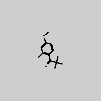 COc1ccc(C(=O)C(C)(C)C)c(C)c1